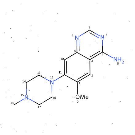 COc1cc2c(N)ncnc2cc1N1CCN(C)CC1